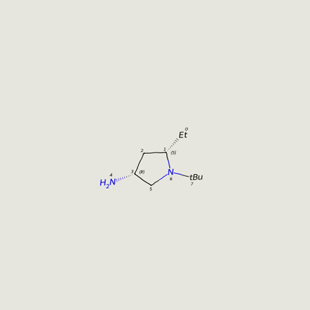 CC[C@H]1C[C@@H](N)CN1C(C)(C)C